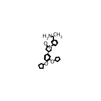 C=C(N)c1cccc(N2C[C@@H](c3ccc(OC4CCCC4)c(OC4CCCC4)c3)CC2=O)c1